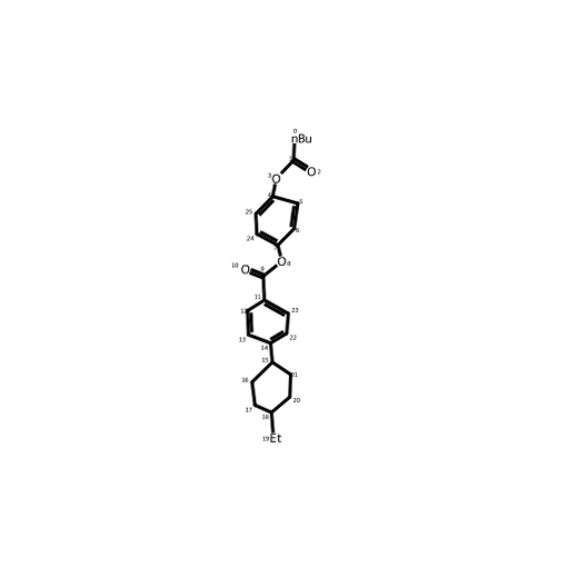 CCCCC(=O)Oc1ccc(OC(=O)c2ccc(C3CCC(CC)CC3)cc2)cc1